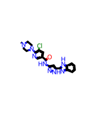 CN1CCN(c2ncc(C(=O)Nc3cc(-c4nc5ccccc5[nH]4)[nH]n3)cc2Cl)CC1